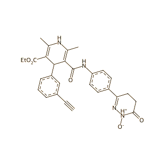 C#Cc1cccc(C2C(C(=O)Nc3ccc(C4=N[NH+]([O-])C(=O)CC4)cc3)=C(C)NC(C)=C2C(=O)OCC)c1